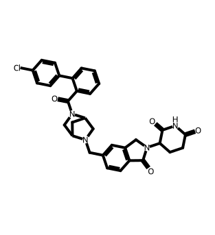 O=C1CCC(N2Cc3cc(CN4CC5CC4CN5C(=O)c4ccccc4-c4ccc(Cl)cc4)ccc3C2=O)C(=O)N1